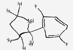 [2H]C1([2H])CC([2H])([2H])C([2H])(c2cc(F)ccc2F)N1